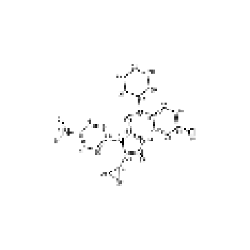 CN(C)c1ccc(-n2c(SC(c3ccc(Cl)cc3)C3CCCCC3)nnc2C2CC2)cc1